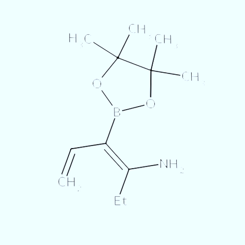 C=C/C(B1OC(C)(C)C(C)(C)O1)=C(/N)CC